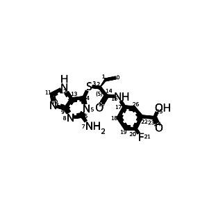 CC[C@H](Sc1nc(N)nc2nc[nH]c12)C(=O)Nc1ccc(F)c(C(=O)O)c1